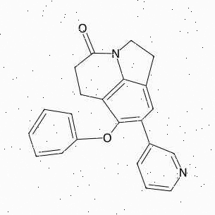 O=C1CCc2c(Oc3ccccc3)c(-c3cccnc3)cc3c2N1CC3